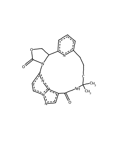 CC1(C)CCCc2cccc(n2)C2COC(=O)N2c2ccn3ncc(c3n2)C(=O)N1